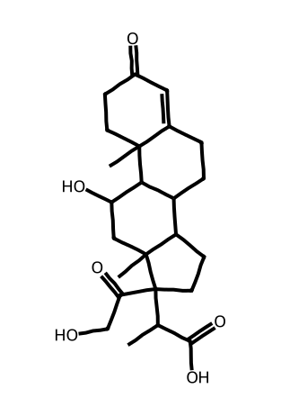 CC(C(=O)O)C1(C(=O)CO)CCC2C3CCC4=CC(=O)CCC4(C)C3C(O)CC21C